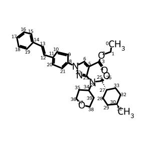 CCOC(=O)c1cn(-c2ccc(C=Cc3ccccc3)cc2)nc1N(C(=O)[C@H]1CC[C@H](C)CC1)C1CCOCC1